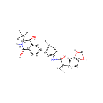 Cc1ccc(NC(=O)C2(c3ccc4c(c3)OCO4)CC2)cc1-c1ccc(C(=O)N(C)[C@H](CO)C(C)(C)C)cc1